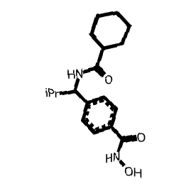 CC(C)C(NC(=O)C1CCCCC1)c1ccc(C(=O)NO)cc1